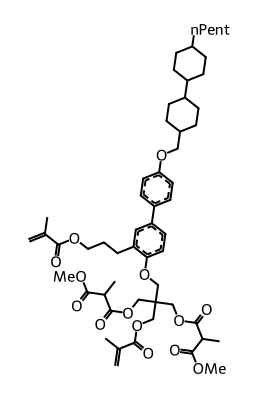 C=C(C)C(=O)OCCCc1cc(-c2ccc(OCC3CCC(C4CCC(CCCCC)CC4)CC3)cc2)ccc1OCC(COC(=O)C(=C)C)(COC(=O)C(C)C(=O)OC)COC(=O)C(C)C(=O)OC